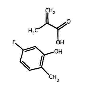 C=C(C)C(=O)O.Cc1ccc(F)cc1O